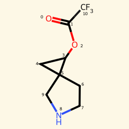 O=C(OC1CC12CCNC2)C(F)(F)F